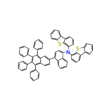 c1ccc(-c2c(-c3ccccc3)c(-c3ccccc3)c3cc(-c4ccc(N(c5cccc6c5sc5ccccc56)c5cccc6c5sc5ccccc56)c5ccccc45)ccc3c2-c2ccccc2)cc1